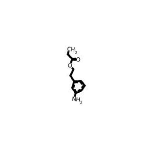 CCC(=O)OCCc1cccc(N)c1